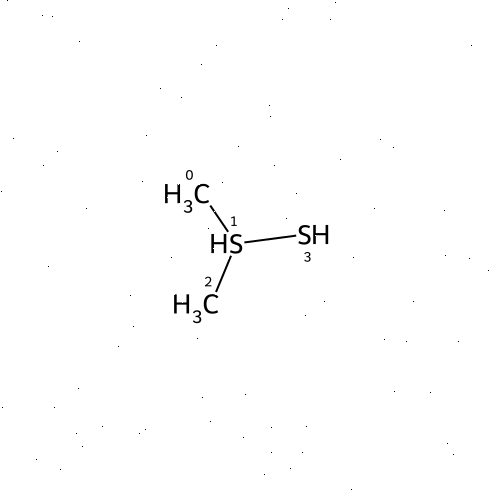 C[SH](C)S